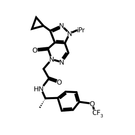 CC(C)n1nc(C2CC2)c2c(=O)n(CC(=O)N[C@@H](C)c3ccc(OC(F)(F)F)cc3)ncc21